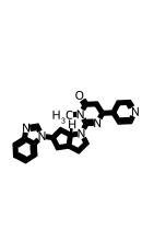 CN1C(=O)CC(C2C=CN=CC2)N=C1N1CCC2CC(n3cnc4ccccc43)C[C@@H]21